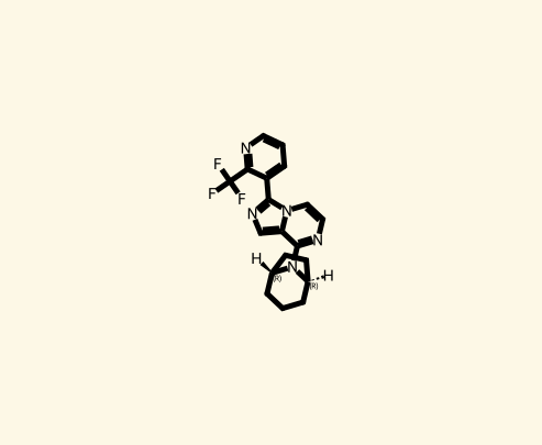 FC(F)(F)c1ncccc1-c1ncc2c(N3[C@@H]4CCC[C@@H]3CC4)nccn12